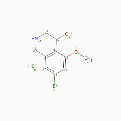 COc1cc(Br)cc2c1C(O)CNC2.Cl